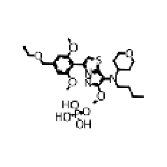 CCCCN(c1c(OC)nn2c(-c3c(OC)cc(COCC)cc3OC)csc12)C1CCOCC1.O=P(O)(O)O